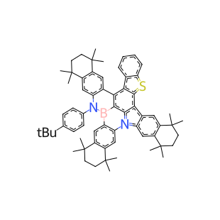 CC(C)(C)c1ccc(N2B3c4cc5c(cc4-n4c6cc7c(cc6c6c8sc9ccccc9c8c(c3c64)-c3cc4c(cc32)C(C)(C)CCC4(C)C)C(C)(C)CCC7(C)C)C(C)(C)CCC5(C)C)cc1